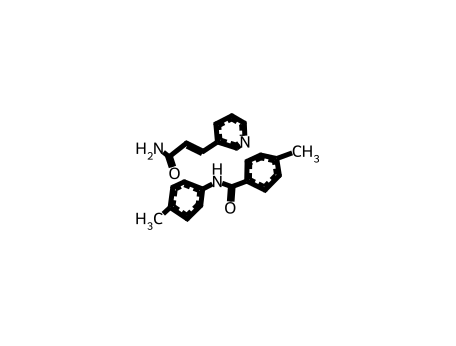 Cc1ccc(NC(=O)c2ccc(C)cc2)cc1.NC(=O)C=Cc1cccnc1